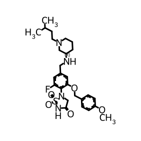 COc1ccc(COc2cc(CN[C@@H]3CCCN(CCC(C)C)C3)cc(F)c2N2CC(=O)NS2(=O)=O)cc1